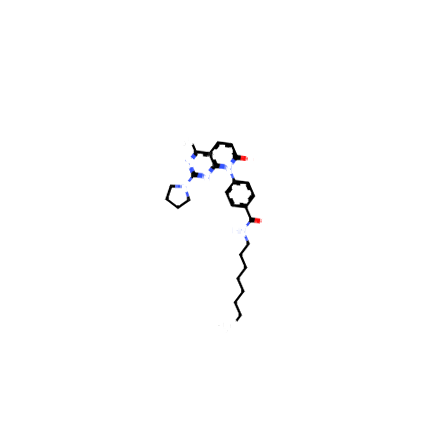 CCCCCCCCNC(=O)c1ccc(-n2c(=O)ccc3c(C)nc(N4CCCC4)nc32)cc1